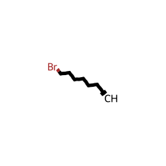 C#CCCCCCCBr